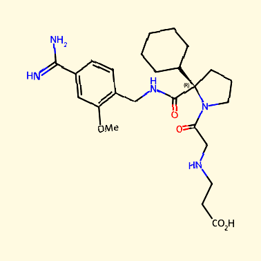 COc1cc(C(=N)N)ccc1CNC(=O)[C@]1(C2CCCCC2)CCCN1C(=O)CNCCC(=O)O